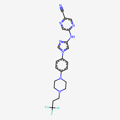 N#Cc1cnc(Nc2cn(-c3ccc(N4CCN(CCC(F)(F)F)CC4)cc3)cn2)cn1